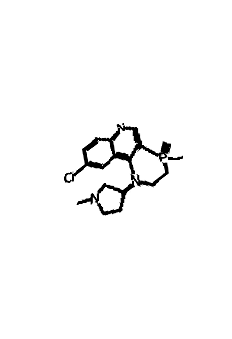 C=P1(C)CCN(C2CCN(C)C2)c2c1cnc1ccc(Cl)cc21